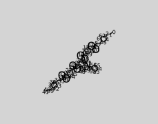 CCCc1ccc(CCC(=O)O[C@H]2CC[C@H](C(=O)Oc3ccc(OC(=O)[C@H]4CC[C@H](OC(=O)CCc5ccc(CCC)cc5)CC4)c4c(C)cc(-c5ccccc5)nc34)CC2)cc1